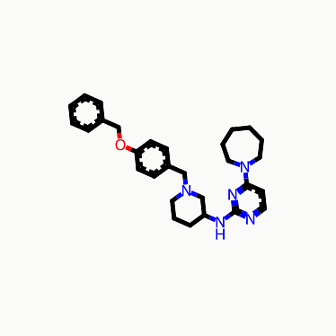 c1ccc(COc2ccc(CN3CCCC(Nc4nccc(N5CCCCCC5)n4)C3)cc2)cc1